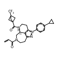 C=CC(=O)N1CCc2nn(-c3ccc(C4CC4)cc3)c3c2[C@@H](C1)N(C(=O)C12CC(C(F)(F)F)(C1)C2)CC3